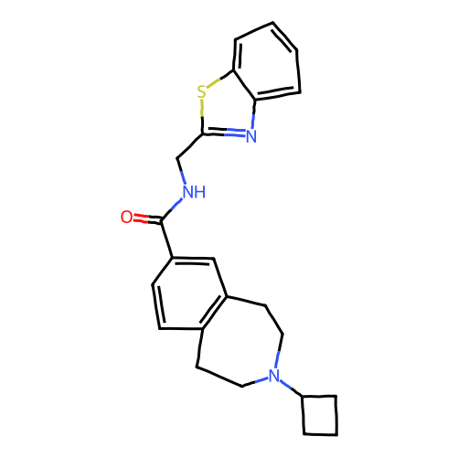 O=C(NCc1nc2ccccc2s1)c1ccc2c(c1)CCN(C1CCC1)CC2